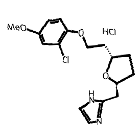 COc1ccc(OCC[C@@H]2CC[C@@H](Cc3ncc[nH]3)O2)c(Cl)c1.Cl